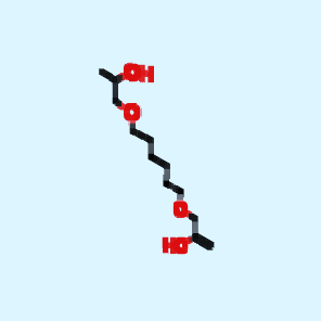 C=C(O)COCCCCCCOCC(C)O